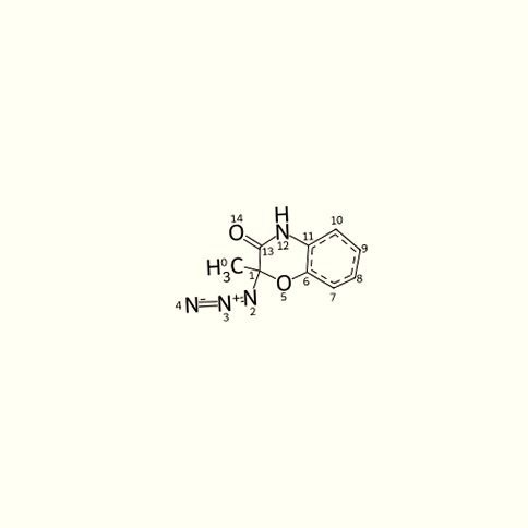 CC1(N=[N+]=[N-])Oc2ccccc2NC1=O